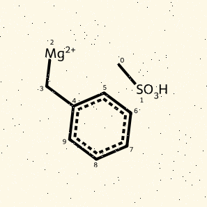 CS(=O)(=O)O.[Mg+2][CH2]c1ccccc1